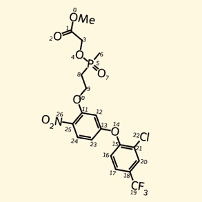 COC(=O)COP(C)(=O)CCOc1cc(Oc2ccc(C(F)(F)F)cc2Cl)ccc1[N+](=O)[O-]